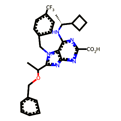 CC(OCc1ccccc1)c1nc2nc(C(=O)O)nc(N[C@H](C)C3CCC3)c2n1Cc1ccc(C(F)(F)F)cc1